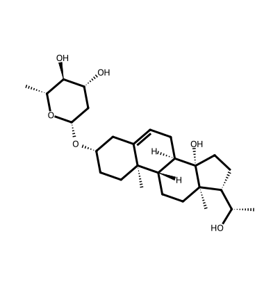 C[C@H](O)[C@H]1CC[C@]2(O)[C@@H]3CC=C4C[C@@H](O[C@H]5C[C@@H](O)[C@H](O)[C@@H](C)O5)CC[C@]4(C)[C@H]3CC[C@]12C